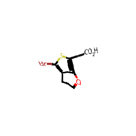 O=C(O)c1sc(Br)c2c1OCC2